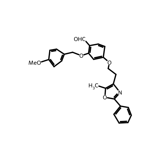 COc1ccc(COc2cc(OCCc3nc(-c4ccccc4)oc3C)ccc2C=O)cc1